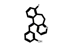 Oc1cccc(/C=C2\c3cccnc3CCc3c(F)cccc32)c1